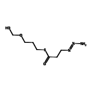 NN=NCCC(=O)SCCCOCO